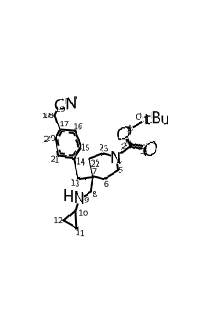 CC(C)(C)OC(=O)N1CCC(CNC2CC2)(Cc2ccc(CC#N)cc2)CC1